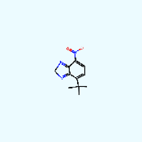 CC(C)(C)c1ccc([N+](=O)[O-])c2c1=NCN=2